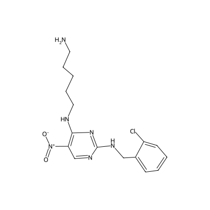 NCCCCCNc1nc(NCc2ccccc2Cl)ncc1[N+](=O)[O-]